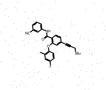 Cc1cc(F)ccc1Oc1cc(C#CCC(C)(C)C)ccc1C(=O)Nc1cccc(C#N)c1